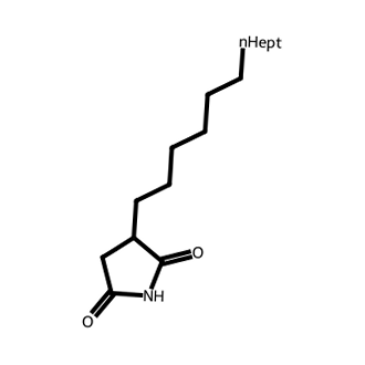 CCCCCCCCCCCCCC1CC(=O)NC1=O